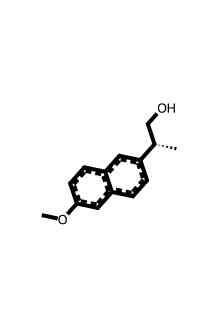 COc1ccc2cc([C@@H](C)CO)ccc2c1